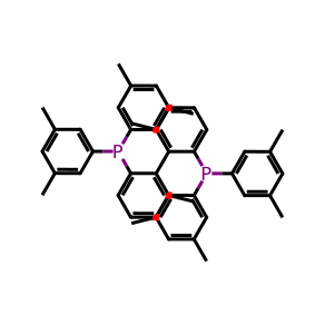 Cc1cc(C)cc(P(c2cc(C)cc(C)c2)c2cccc(C)c2-c2c(C)cccc2P(c2cc(C)cc(C)c2)c2cc(C)cc(C)c2)c1